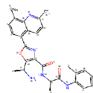 COc1ccc(-c2nc(C(=O)N[C@H](C)C(=O)Nc3ccccc3C)c([C@H](C)N)o2)c2ccc(C(F)(F)F)nc12